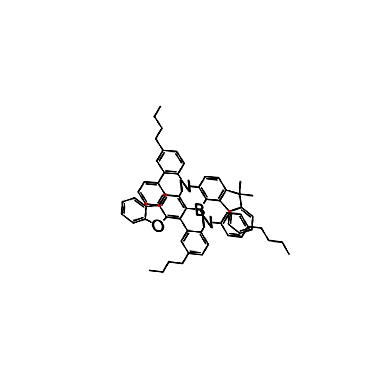 CCCCc1ccc(N2B3c4c(ccc5c4-c4ccccc4C5(C)C)N(c4ccc(CCCC)cc4-c4ccccc4)c4cc5c(oc6ccccc65)c(c43)-c3cc(CCCC)ccc32)cc1